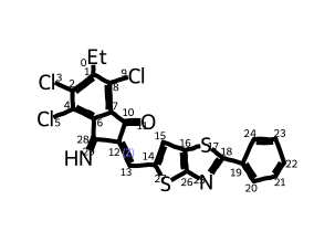 CCc1c(Cl)c(Cl)c2c(c1Cl)C(=O)/C(=C\c1cc3sc(-c4ccccc4)nc3s1)C2=N